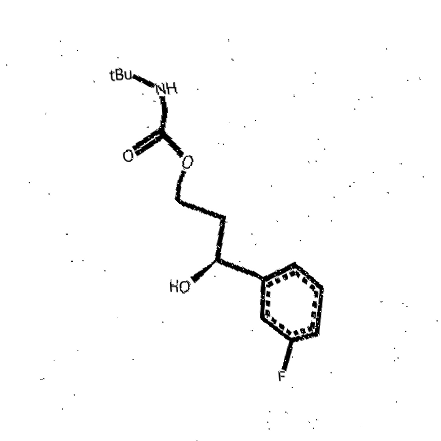 CC(C)(C)NC(=O)OCC[C@H](O)c1cccc(F)c1